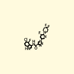 O=C(Nc1c[nH]c2ccc(Cl)c(F)c12)c1cn(-c2cnc(N3CCC(F)(F)CC3)c(F)c2)nn1